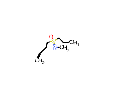 C=CCCS(=O)(CCC)=NC